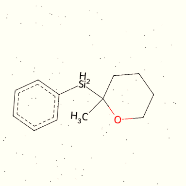 CC1([SiH2]c2ccccc2)CCCCO1